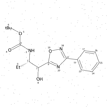 CC[C@H](NC(=O)OC(C)(C)C)C(O)c1nc(-c2ccccc2)no1